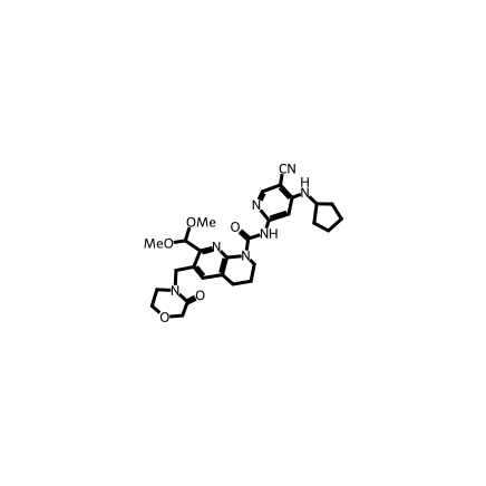 COC(OC)c1nc2c(cc1CN1CCOCC1=O)CCCN2C(=O)Nc1cc(NC2CCCC2)c(C#N)cn1